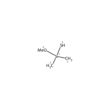 CO[Si](C)(C)S